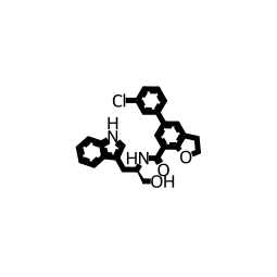 O=C(N[C@@H](CO)Cc1c[nH]c2ccccc12)c1cc(-c2cccc(Cl)c2)cc2c1OCC2